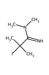 CN(C)C(=N)C(C)(C)I